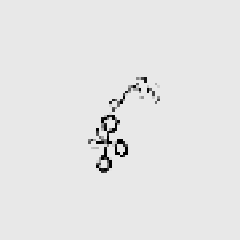 CN(C)CCOc1ccc(C2(c3ccccc3)C(c3ccccc3)C2(Cl)Cl)cc1